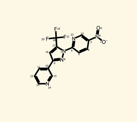 O=[N+]([O-])c1ccc(-n2nc(-c3cccnc3)cc2C(F)(F)F)nc1